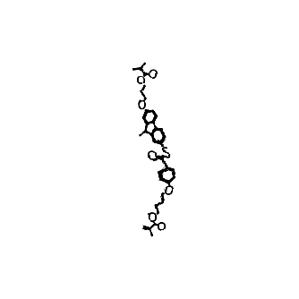 C=C(C)C(=O)OCCCCOc1ccc(C(=O)Sc2ccc3c(c2)C(C)c2cc(OCCCOC(=O)C(=C)C)ccc2-3)cc1